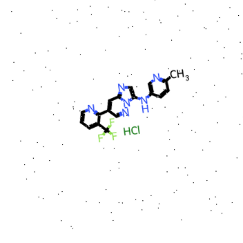 Cc1ccc(Nc2cnc3cc(-c4ncccc4C(F)(F)F)cnn23)cn1.Cl